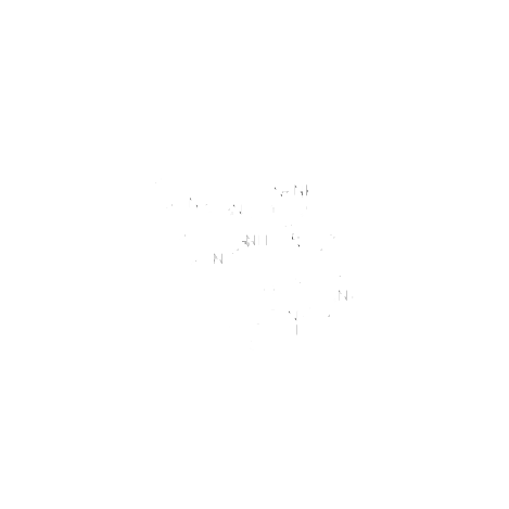 O=C(Nc1cncc(-c2ccc3[nH]nc(-c4nc5c(N6CCCCC6)ccnc5[nH]4)c3n2)c1)C1CC1